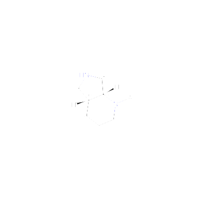 CC(=O)N1CCC[C@@H]2CNC[C@@H]21